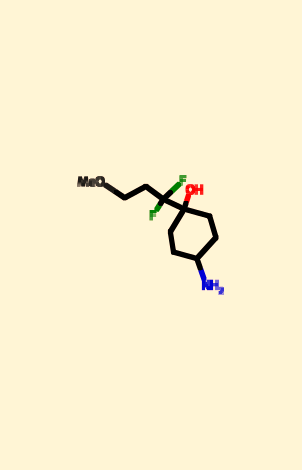 COCCC(F)(F)C1(O)CCC(N)CC1